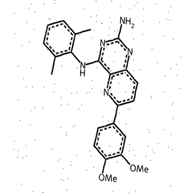 COc1ccc(-c2ccc3nc(N)nc(Nc4c(C)cccc4C)c3n2)cc1OC